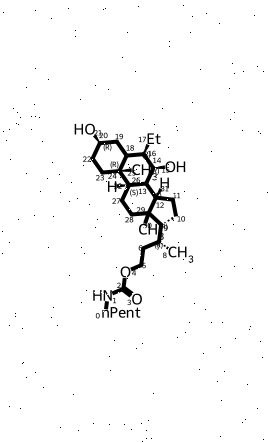 CCCCCNC(=O)OCC[C@@H](C)[C@H]1CC[C@H]2C3[C@H](O)[C@H](CC)C4C[C@H](O)CC[C@@]4(C)[C@H]3CCC12C